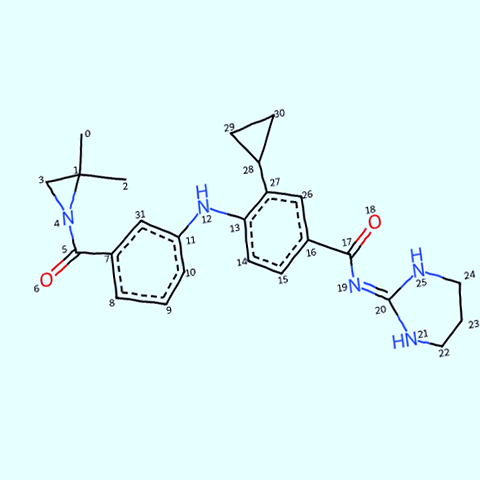 CC1(C)CN1C(=O)c1cccc(Nc2ccc(C(=O)N=C3NCCCN3)cc2C2CC2)c1